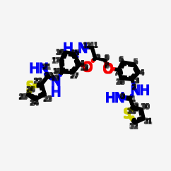 N=C(Nc1cccc(OC[C@H](CN)Oc2cccc(NC(=N)c3cccs3)c2)c1)c1cccs1